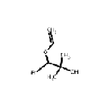 C=COC(C(C)C)C(C)(C)O